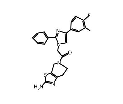 Cc1cc(-c2cn(CC(=O)N3CCc4nc(N)sc4C3)c(-c3ccccc3)n2)ccc1F